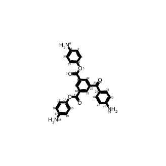 Nc1ccc(OC(=O)c2cc(C(=O)Oc3ccc(N)cc3)cc(C(=O)c3ccc(N)cc3)c2)cc1